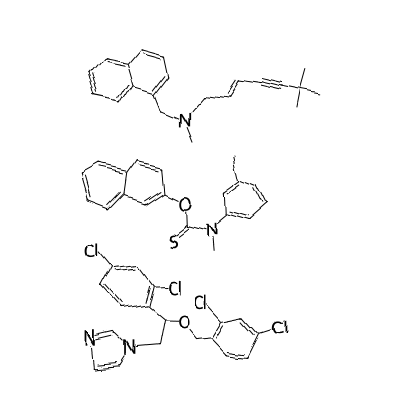 CN(C/C=C/C#CC(C)(C)C)Cc1cccc2ccccc12.Cc1cccc(N(C)C(=S)Oc2ccc3ccccc3c2)c1.Clc1ccc(COC(Cn2ccnc2)c2ccc(Cl)cc2Cl)c(Cl)c1